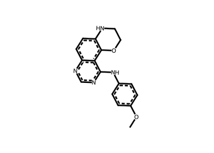 COc1ccc(Nc2ncnc3ccc4c(c23)OCCN4)cc1